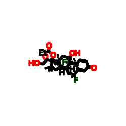 CCC(=O)O[C@]1(C(=O)CO)[C@H](C)C[C@H]2[C@@H]3C[C@H](F)C4=CC(=O)C=C[C@]4(C)[C@@]3(F)[C@@H](O)C[C@@]21C